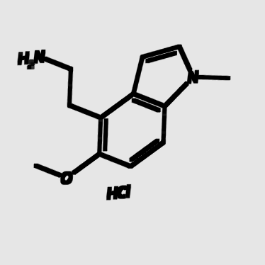 COc1ccc2c(ccn2C)c1CCN.Cl